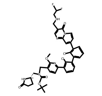 COc1nc(-c2cccc(-c3cccc(-c4ccn5c(=O)c(CNCC(F)F)cnc5c4)c3Cl)c2Cl)ccc1CN(C[C@@H]1CCC(=O)N1)C(=O)OC(C)(C)C